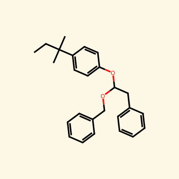 CCC(C)(C)c1ccc(OC(Cc2ccccc2)OCc2ccccc2)cc1